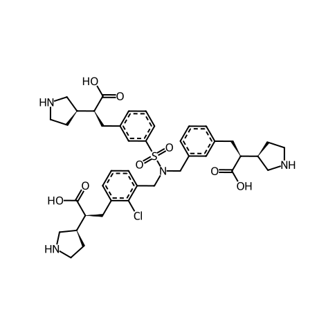 O=C(O)[C@@H](Cc1cccc(CN(Cc2cccc(C[C@H](C(=O)O)[C@H]3CCNC3)c2Cl)S(=O)(=O)c2cccc(C[C@H](C(=O)O)[C@H]3CCNC3)c2)c1)[C@H]1CCNC1